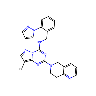 CC(C)c1cnn2c(NCc3ccccc3-n3cccn3)nc(N3CCc4ncccc4C3)nc12